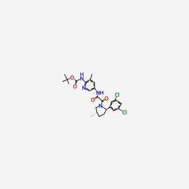 Cc1cc(NC(=O)C(=O)N2C[C@@H](C)CC[C@@H]2c2cc(Cl)cc(Cl)c2)cnc1NC(=O)OC(C)(C)C